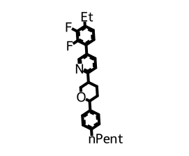 CCCCCc1ccc(C2CCC(c3ccc(-c4ccc(CC)c(F)c4F)cn3)CO2)cc1